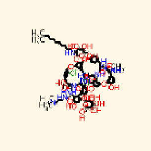 CN[C@H]1C(=O)N[C@@H]2Cc3ccc(cc3)Oc3cc4cc(c3O[C@@H]3O[C@H](CO)[C@@H](O)[C@H](O)[C@H]3NC(=O)CCCCCCCCC(C)C)Oc3ccc(cc3Cl)[C@@H](O)[C@@H]3NC(=O)[C@H](NC(=O)[C@@H]4NC(=O)[C@H](NC2=O)c2cc(cc(O)c2Cl)Oc2cc1ccc2O)c1ccc(O)c(c1)-c1c(O[C@H]2O[C@H](CO)[C@@H](O)[C@H](O)[C@@H]2O)cc(O)cc1[C@H](C(=O)NCCCN(C)C)NC3=O